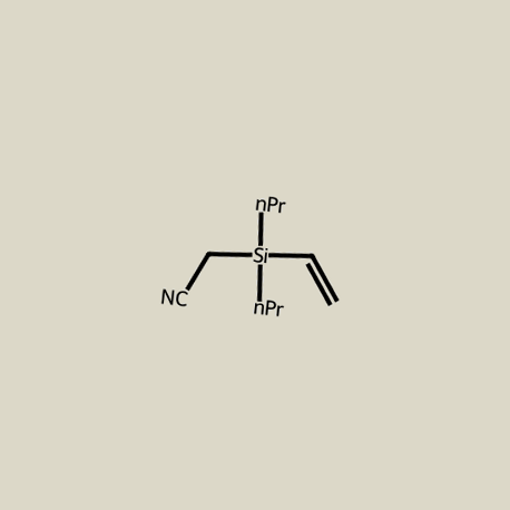 C=C[Si](CC#N)(CCC)CCC